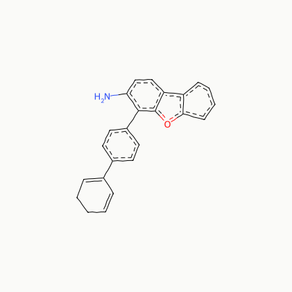 Nc1ccc2c(oc3ccccc32)c1-c1ccc(C2=CCCC=C2)cc1